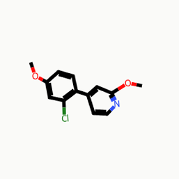 COc1ccc(-c2ccnc(OC)c2)c(Cl)c1